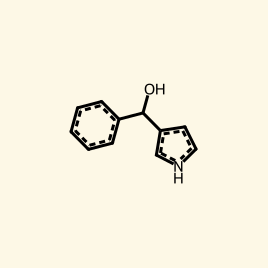 OC(c1ccccc1)c1cc[nH]c1